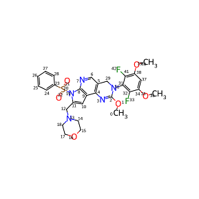 COC1=Nc2c(cnc3c2cc(CN2CCOCC2)n3S(=O)(=O)c2ccccc2)CN1c1c(F)c(OC)cc(OC)c1F